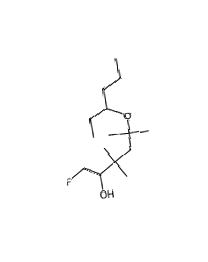 CCCC(CC)OC(C)(C)CC(C)(C)C(O)CF